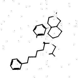 CC(C)CN(C(=O)CCCCCc1ccccc1)[C@H]1CC[C@]2(O)CN(C)CC[C@@]2(c2cccc(O)c2)C1